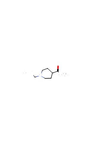 COC(=O)C1CCN(C[C]=O)CC1